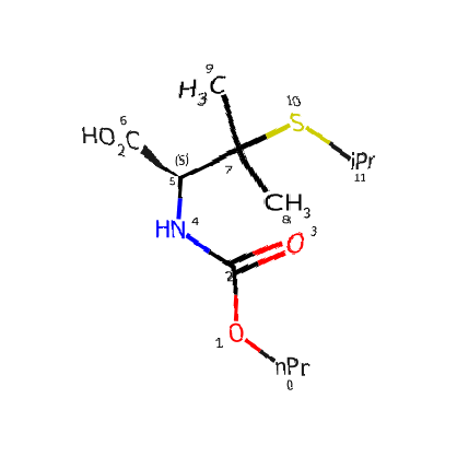 CCCOC(=O)N[C@@H](C(=O)O)C(C)(C)SC(C)C